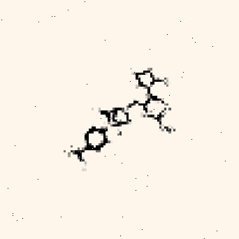 CC(C)(C)OC(=O)NC(CN1C[C@@H]2CC1C(=O)N2c1ccc(C(N)=O)cc1)C(=O)N1CCCC1C#N